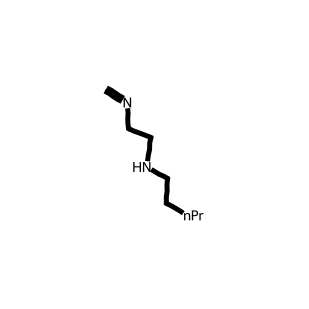 C=NCCNCCCCC